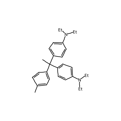 CCN(CC)c1ccc(C(C)(c2ccc(C)cc2)c2ccc(N(CC)CC)cc2)cc1